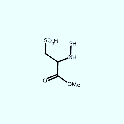 COC(=O)C(CS(=O)(=O)O)NS